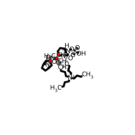 CC(C)(C)OC(=O)N1C2CCC1CC(NC(=O)[C@@H]1CC[C@@H]3CN1C(=O)N3OS(=O)(=O)O)C2.CCCC[N+](CCCC)(CCCC)CCCC